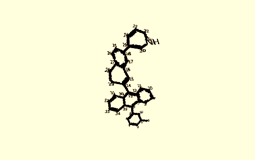 CC1C=CC=C(C2=c3ccccc3=C(C3=Cc4cc(C5=CNCC=C5)ccc4CC3)C3C=CC=CC23)C1